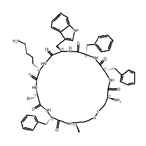 CC(C)[C@@H]1NC(=O)[C@H](CCCCN)NC(=O)[C@@H](Cc2c[nH]c3ccccc23)NC(=O)[C@H](Cc2ccccc2)NC(=O)[C@H](Cc2ccccc2)NC(=O)[C@@H](N)CSSC[C@@H](C)NC(=O)[C@H](Cc2ccccc2)NC1=O